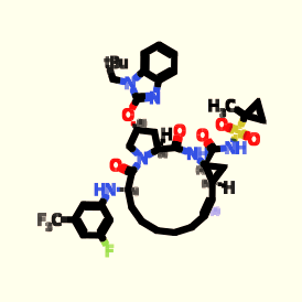 CC(C)(C)Cn1c(O[C@@H]2C[C@H]3C(=O)N[C@]4(C(=O)NS(=O)(=O)C5(C)CC5)C[C@H]4/C=C\CCCCC[C@H](Nc4cc(F)cc(C(F)(F)F)c4)C(=O)N3C2)nc2ccccc21